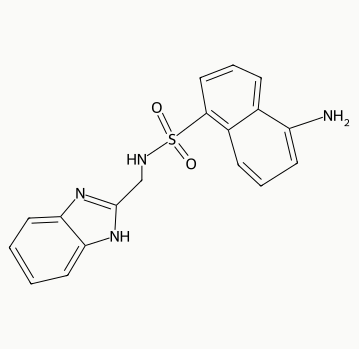 Nc1cccc2c(S(=O)(=O)NCc3nc4ccccc4[nH]3)cccc12